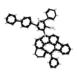 Cc1c(-n2c3ccc4c5c3c3c6c(ccc32)CCC=c6c(-c2ccccc2)c-5c2ccccc24)cc(-c2ccc(-c3ccccc3)cc2)nc1C1=CCCC=C1